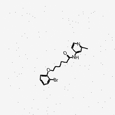 Cc1cc(NC(=O)CCCCCOc2ccccc2Br)ccn1